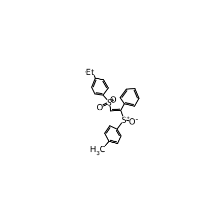 C[CH]c1ccc(S(=O)(=O)/C=C(\c2ccccc2)[S+]([O-])c2ccc(C)cc2)cc1